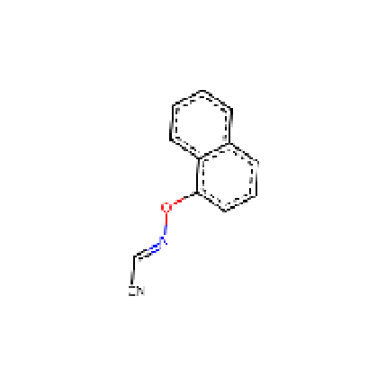 N#CC=NOc1cccc2ccccc12